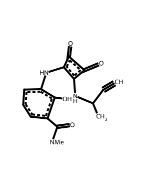 C#CC(C)Nc1c(Nc2cccc(C(=O)NC)c2O)c(=O)c1=O